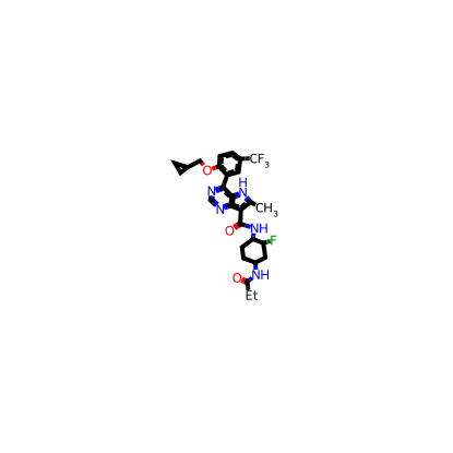 CCC(=O)NC1CCC(NC(=O)c2c(C)[nH]c3c(-c4cc(C(F)(F)F)ccc4OCC4CC4)ncnc23)C(F)C1